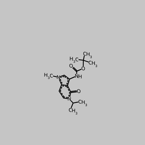 CC(C)n1ccc2c(c(NC(=O)OC(C)(C)C)cn2C)c1=O